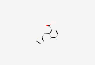 O=C(O)c1ccc(F)c(F)c1Cc1cccs1